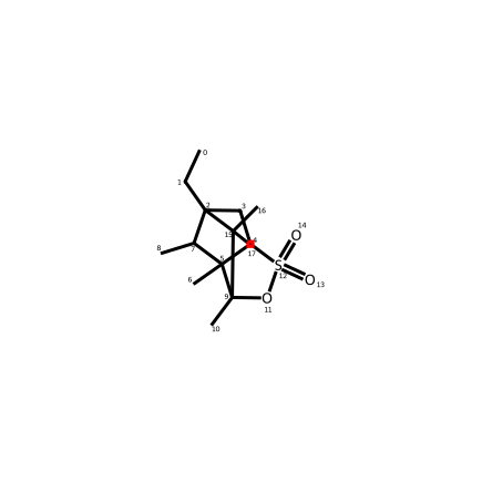 CCC12CC3C(C)(C1C)C(C)(OS3(=O)=O)C2(C)C